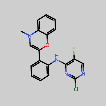 CN1C=C(c2ccccc2Nc2nc(Cl)ncc2F)Oc2ccccc21